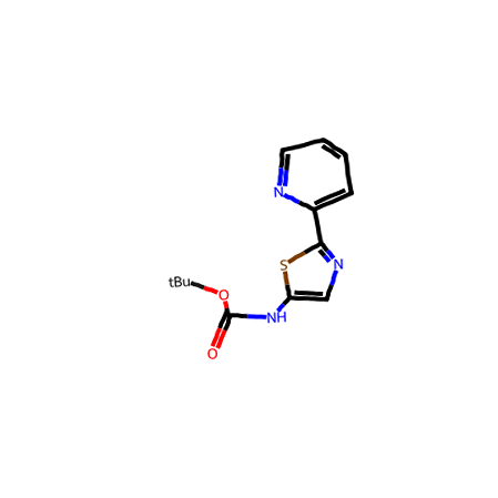 CC(C)(C)OC(=O)Nc1cnc(-c2ccccn2)s1